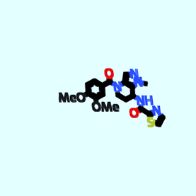 COc1ccc(C(=O)N2CCC(NC(=O)c3nccs3)c3c2cnn3C)cc1OC